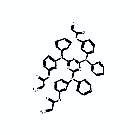 C=CC(=O)Oc1cccc(N(c2ccccc2)c2nc(N(c3ccccc3)c3cccc(OC(=O)C=C)c3)nc(N(c3ccccc3)c3cccc(OC(=O)C=C)c3)n2)c1